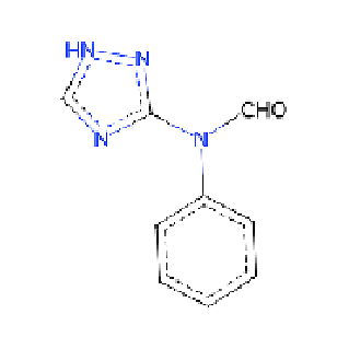 O=CN(c1ccccc1)c1nc[nH]n1